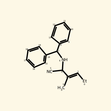 CCC=C(C)C(C#N)NC(c1ccccc1)c1ccccc1